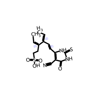 C/C=C(/C=C/c1[nH]c(=S)[nH]c(=O)c1C#N)C(=C/C)\CCS(=O)(=O)O